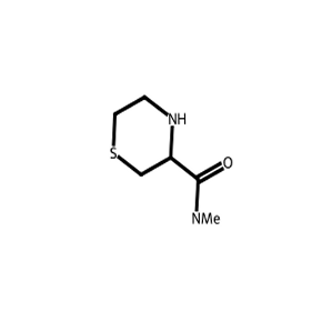 CNC(=O)C1CSCCN1